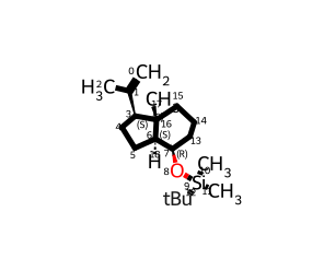 C=C(C)[C@@H]1CC[C@@H]2[C@H](O[Si](C)(C)C(C)(C)C)CCC[C@]21C